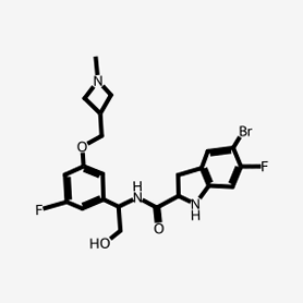 CN1CC(COc2cc(F)cc(C(CO)NC(=O)C3Cc4cc(Br)c(F)cc4N3)c2)C1